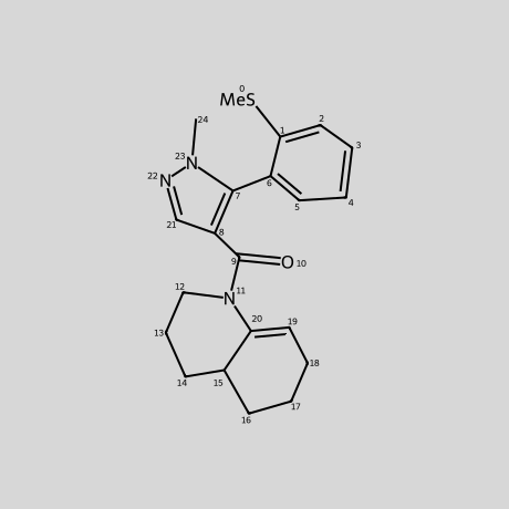 CSc1ccccc1-c1c(C(=O)N2CCCC3CCCC=C32)cnn1C